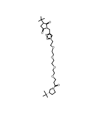 CC(C)(C)C1CC(=O)N(Cc2cn(CCOCCOCCOCCOCCC(=O)N3CC[C@H](C(C)(C)C)C3)nn2)C1=O